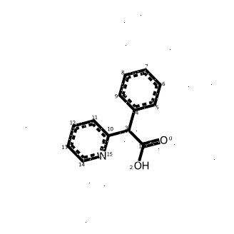 O=C(O)C(c1ccccc1)c1ccccn1